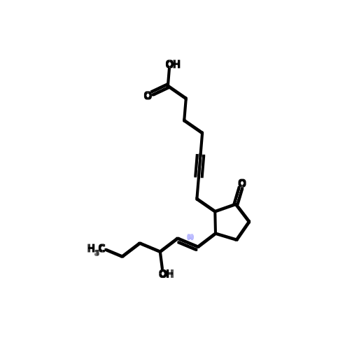 CCCC(O)/C=C/C1CCC(=O)C1CC#CCCCC(=O)O